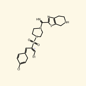 CC/C=C(\C=C1C=CC(Cl)=CC1)S(=O)(=O)N1CCN(C(=N)c2nc3c(s2)CNCC3)CC1